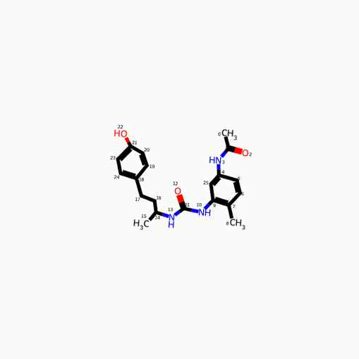 CC(=O)Nc1ccc(C)c(NC(=O)NC(C)CCc2ccc(O)cc2)c1